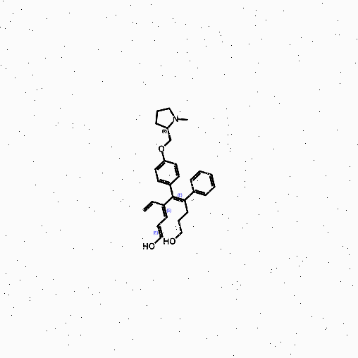 C=CC(=C\C=C\O)/C(=C(\CCCO)c1ccccc1)c1ccc(OC[C@H]2CCCN2C)cc1